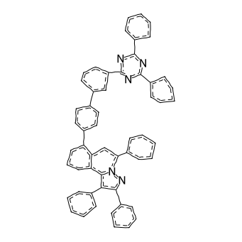 c1ccc(-c2nc(-c3ccccc3)nc(-c3cccc(-c4ccc(-c5cccc6c5cc(-c5ccccc5)n5nc(-c7ccccc7)c(-c7ccccc7)c65)cc4)c3)n2)cc1